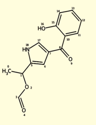 CC(OC=O)c1cc(C(=O)c2ccccc2O)c[nH]1